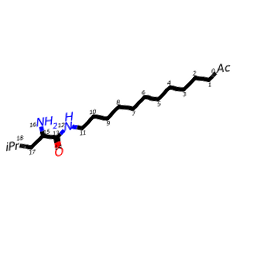 CC(=O)CCCCCCCCCCCNC(=O)C(N)CC(C)C